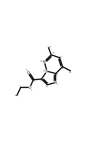 CCOC(=O)c1cnc2c(C)cc(C)nn12